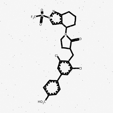 O=C(O)c1ccc(-c2cc(Cl)c(CC3CCN(C4CCCc5nn(S(=O)(=O)C(F)(F)F)cc54)C3=O)c(Cl)c2)cc1